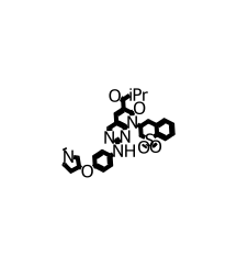 CC(C)C(=O)c1cc2cnc(Nc3ccc(OC4CCN(C)C4)cc3)nc2n(C2Cc3ccccc3S(=O)(=O)C2)c1=O